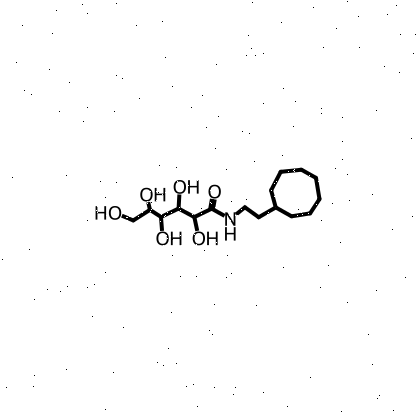 O=C(NCCC1CCCCCCC1)C(O)C(O)C(O)C(O)CO